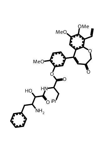 C=Cc1c(OC)c(OC)cc2c1OCC(=O)C=C2c1ccc(OC)c(OC(=O)C(CC(C)C)NC(=O)C(O)C(N)Cc2ccccc2)c1